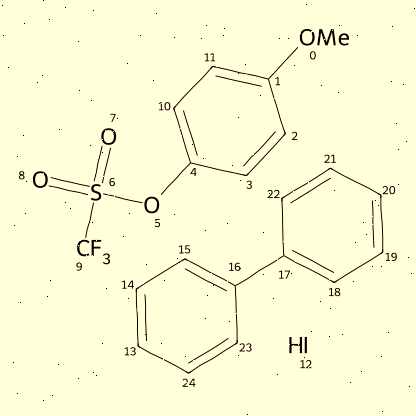 COc1ccc(OS(=O)(=O)C(F)(F)F)cc1.I.c1ccc(-c2ccccc2)cc1